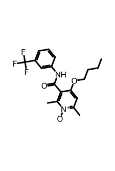 CCCCOc1cc(C)[n+]([O-])c(C)c1C(=O)Nc1cccc(C(F)(F)F)c1